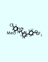 COc1cc(Cl)ccc1NC(=O)c1cncc(-c2ccc(OC(F)(F)F)cc2)n1